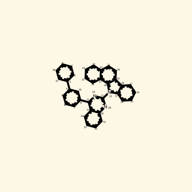 c1ccc(-c2cccc(-c3nc(-n4c5ccccc5c5ccc6ccccc6c54)nc4ccccc34)c2)cc1